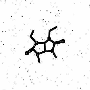 CCN1C(=O)N(C)C2C1N(CC)C(=O)N2C